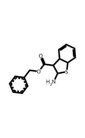 NC1SC2C=CC=CC2C1C(=O)OCc1ccccc1